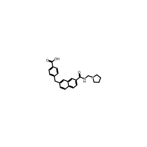 O=C(O)c1ccc(Cc2ccc3ccc(C(=O)NCN4CCCC4)cc3c2)cc1